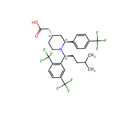 CC(C)CC[C@@H](c1cc(C(F)(F)F)ccc1C(F)(F)F)N1CC[C@H](CC(=O)O)C[C@H]1c1ccc(C(F)(F)F)cc1